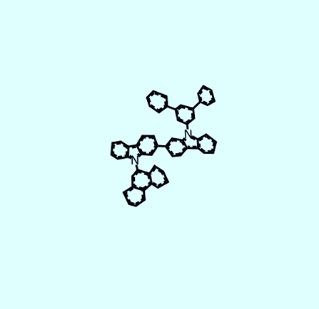 c1ccc(-c2cc(-c3ccccc3)cc(-n3c4ccccc4c4ccc(-c5ccc6c7ccccc7n(-c7cc8ccccc8c8ccccc78)c6c5)cc43)c2)cc1